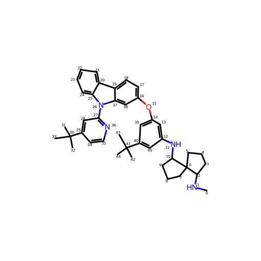 CNC1CCCC12CCCC2Nc1cc(Oc2ccc3c4ccccc4n(-c4cc(C(C)(C)C)ccn4)c3c2)cc(C(C)(C)C)c1